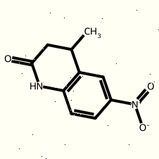 CC1CC(=O)Nc2ccc([N+](=O)[O-])cc21